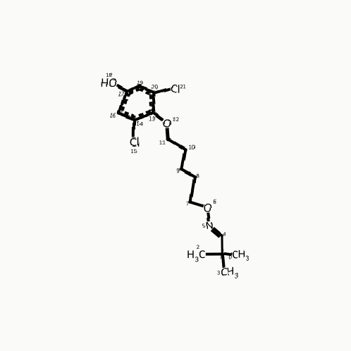 CC(C)(C)C=NOCCCCCOc1c(Cl)cc(O)cc1Cl